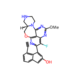 C#Cc1cccc2cc(O)cc(-c3nc4c5c(nc(OC)nc5c3F)N3CCNC[C@H]3CO4)c12